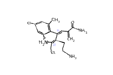 C=C(/C=C(\C(CCN)=C(/N)CC)c1c(C)cc(Cl)cc1F)C(N)=O